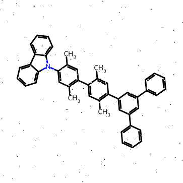 Cc1cc(-c2cc(C)c(-n3c4ccccc4c4ccccc43)cc2C)c(C)cc1-c1cc(-c2ccccc2)cc(-c2ccccc2)c1